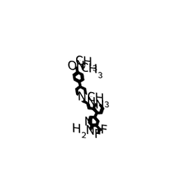 CN(C)C(=O)c1ccc(C2CCN(Cc3cc4c(-c5cnc(N)c(C(F)F)c5)ccnc4n3C)CC2)cc1